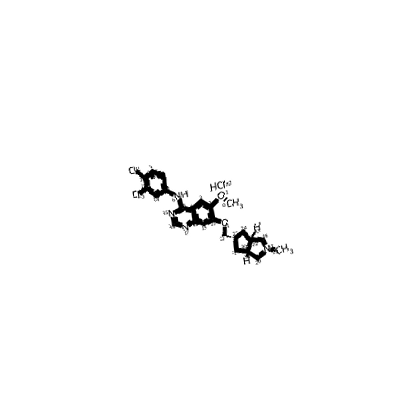 COc1cc2c(Nc3ccc(Cl)c(Cl)c3)ncnc2cc1OC[C@@H]1C[C@@H]2CN(C)C[C@@H]2C1.Cl